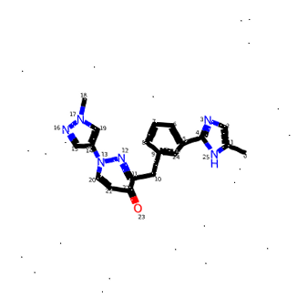 Cc1cnc(-c2cccc(Cc3nn(-c4cnn(C)c4)ccc3=O)c2)[nH]1